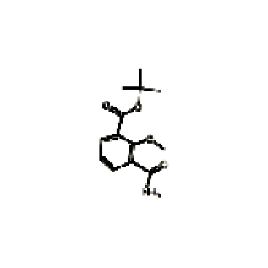 COc1c(C(N)=O)cccc1C(=O)OC(C)(C)C